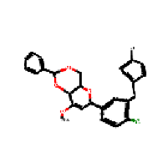 CCCCOC1=CC(c2ccc(Cl)c(Cc3ccc(CC)cc3)c2)OC2COC(c3ccccc3)OC12